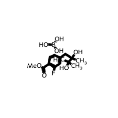 COC(=O)c1ccc(CC(C)(O)C(C)(C)O)cc1F.OB(O)O